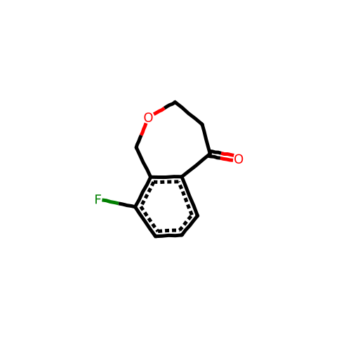 O=C1CCOCc2c(F)cccc21